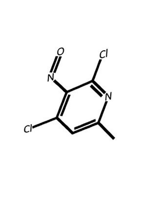 Cc1cc(Cl)c(N=O)c(Cl)n1